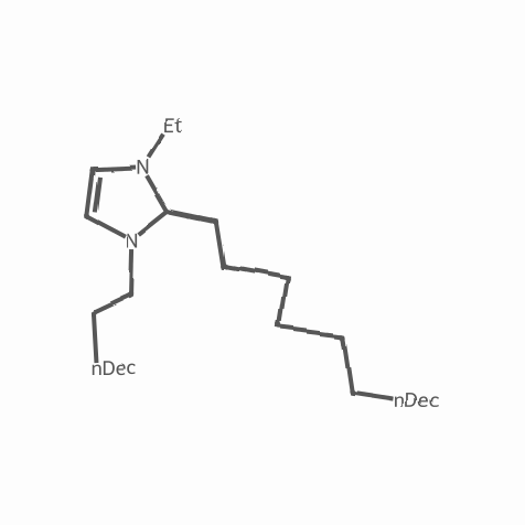 CCCCCCCCCCCCCCCCC1N(CC)C=CN1CCCCCCCCCCCC